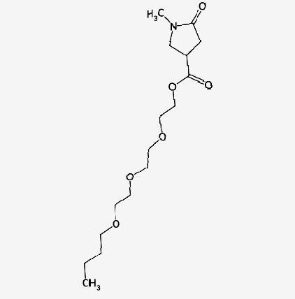 CCCCOCCOCCOCCOC(=O)C1CC(=O)N(C)C1